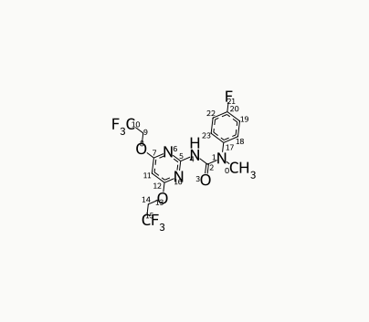 CN(C(=O)Nc1nc(OCC(F)(F)F)cc(OCC(F)(F)F)n1)c1ccc(F)cc1